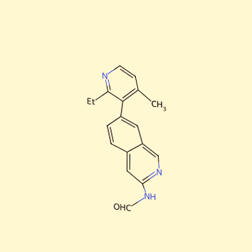 CCc1nccc(C)c1-c1ccc2cc(NC=O)ncc2c1